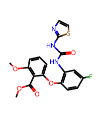 COC(=O)c1c(OC)cccc1Oc1ccc(F)cc1NC(=O)Nc1nccs1